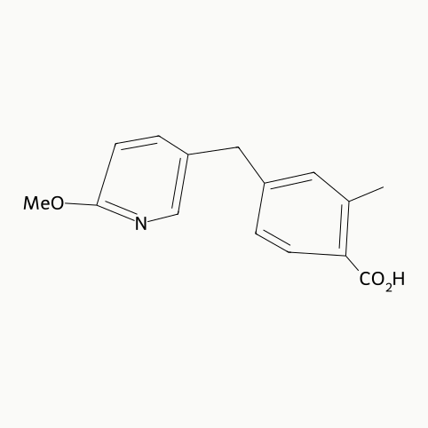 COc1ccc(Cc2ccc(C(=O)O)c(C)c2)cn1